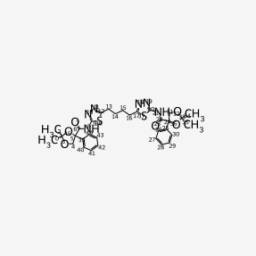 CC1(C)OCC(C(=O)Nc2nnc(CCCCc3nnc(NC(=O)C4(c5ccccc5)COC(C)(C)O4)s3)s2)(c2ccccc2)O1